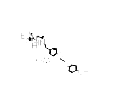 CCS(=O)(=O)NC(C(=O)NCCc1ccc(OCCOc2ccc(C)cc2)c(OC)c1)C(C)C